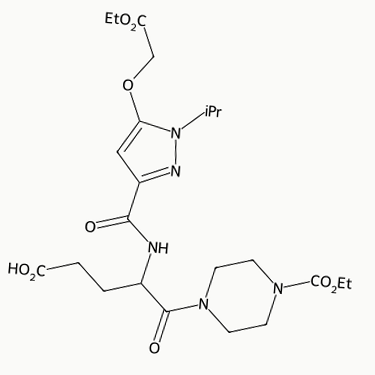 CCOC(=O)COc1cc(C(=O)NC(CCC(=O)O)C(=O)N2CCN(C(=O)OCC)CC2)nn1C(C)C